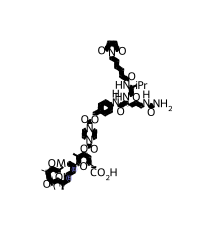 CO[C@H]([C@@H](C)[C@H]1O[C@]1(C)C[C@H](C)/C=C/C=C(\C)[C@H]1O[C@@H](CC(=O)O)C[C@@H](OC(=O)N2CCN(C(=O)OCc3ccc(NC(=O)[C@H](CCCNC(N)=O)NC(=O)[C@@H](NC(=O)CCCCCN4C(=O)C=CC4=O)C(C)C)cc3)CC2)[C@@H]1C)[C@@H](C)O